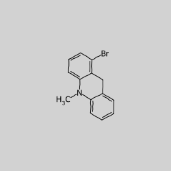 CN1c2ccccc2Cc2c(Br)cccc21